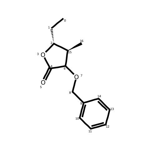 CC[C@H]1OC(=O)C(OCc2ccccc2)[C@@H]1C